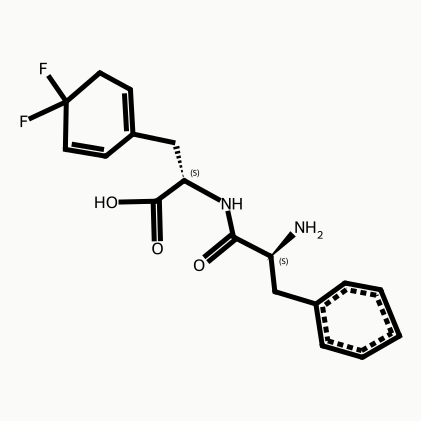 N[C@@H](Cc1ccccc1)C(=O)N[C@@H](CC1=CCC(F)(F)C=C1)C(=O)O